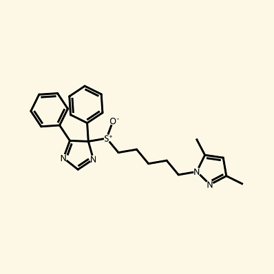 Cc1cc(C)n(CCCCC[S+]([O-])C2(c3ccccc3)N=CN=C2c2ccccc2)n1